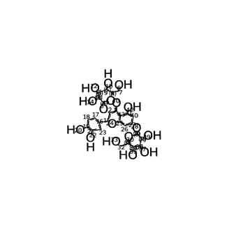 O=c1c(O[C@@H]2O[C@H](CO)[C@@H](O)[C@H](O)[C@H]2O)c(-c2ccc(O)c(O)c2)oc2cc(O[C@@H]3O[C@H](CO)[C@@H](O)[C@H](O)[C@H]3O)cc(O)c12